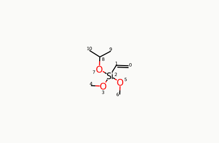 C=C[Si](OC)(OC)OC(C)C